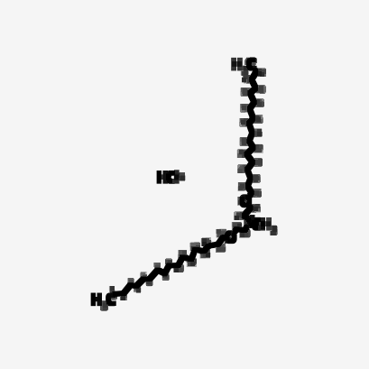 CCCCCCCCCCCCCCCCCCOCCN(C)CCOCCCCCCCCCCCCCCCCCC.Cl